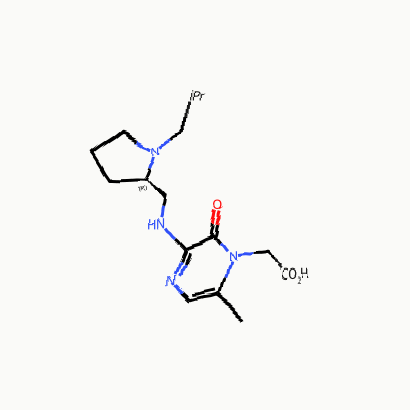 Cc1cnc(NC[C@H]2CCCN2CC(C)C)c(=O)n1CC(=O)O